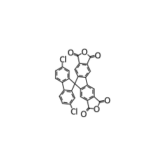 O=C1OC(=O)c2cc3c(cc21)-c1cc2c(cc1C31c3cc(Cl)ccc3-c3ccc(Cl)cc31)C(=O)OC2=O